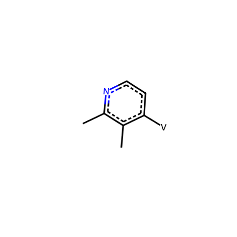 Cc1ncc[c]([V])c1C